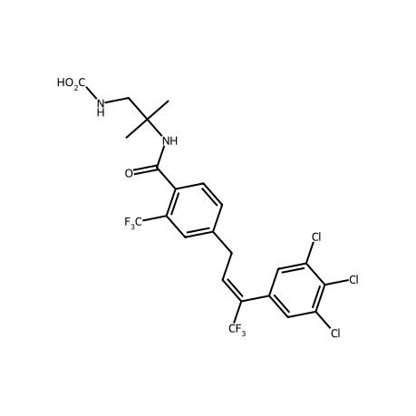 CC(C)(CNC(=O)O)NC(=O)c1ccc(CC=C(c2cc(Cl)c(Cl)c(Cl)c2)C(F)(F)F)cc1C(F)(F)F